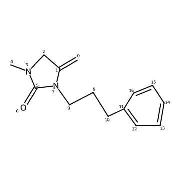 C=C1CN(C)C(=O)N1CCCc1ccccc1